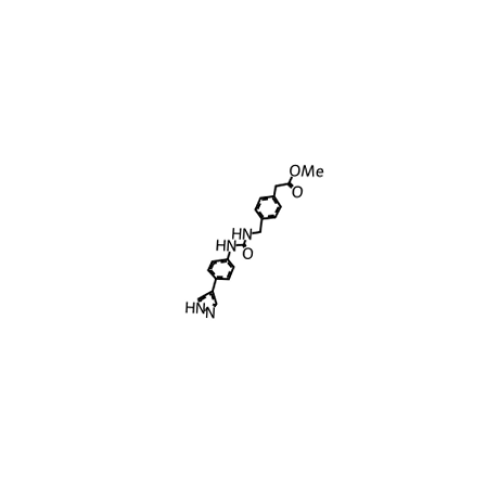 COC(=O)Cc1ccc(CNC(=O)Nc2ccc(-c3cn[nH]c3)cc2)cc1